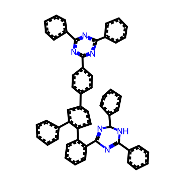 c1ccc(C2=NC(c3ccccc3-c3ccc(-c4ccc(-c5nc(-c6ccccc6)nc(-c6ccccc6)n5)cc4)cc3-c3ccccc3)=NC(c3ccccc3)N2)cc1